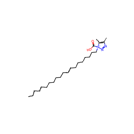 CCCCCCCCCCCCCCCCCCCC[N+]1(C(=O)O)N=NC(C)=C1C